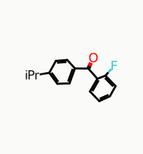 CC(C)c1ccc(C(=O)c2ccccc2F)cc1